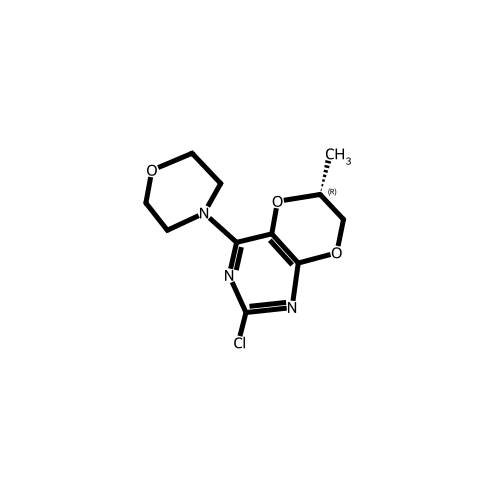 C[C@@H]1COc2nc(Cl)nc(N3CCOCC3)c2O1